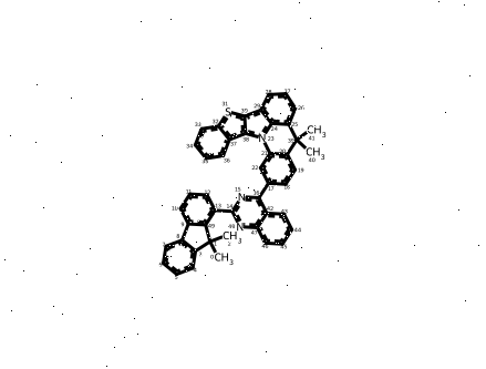 CC1(C)c2ccccc2-c2cccc(-c3nc(-c4ccc5c(c4)-n4c6c(cccc6c6sc7ccccc7c64)C5(C)C)c4ccccc4n3)c21